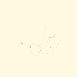 C=CCC1=C2c3cc(O)ccc3CC2(CC)CCC1=O